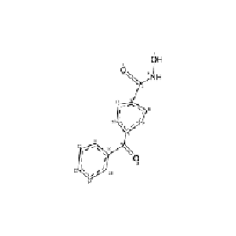 O=C(NO)c1ccc(C(=O)c2ccccc2)cc1